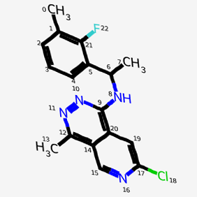 Cc1cccc(C(C)Nc2nnc(C)c3cnc(Cl)cc23)c1F